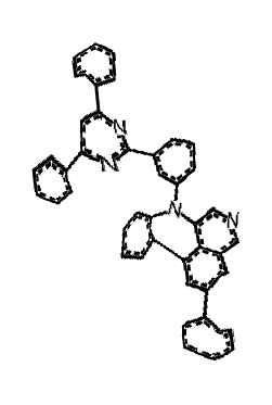 c1ccc(-c2cc3c4c(cncc4c2)N(c2cccc(-c4nc(-c5ccccc5)cc(-c5ccccc5)n4)c2)c2ccccc2-3)cc1